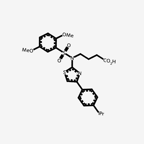 COc1ccc(OC)c(S(=O)(=O)N(CCCC(=O)O)c2nc(-c3ccc(C(C)C)cc3)cs2)c1